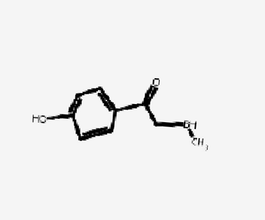 CBCC(=O)c1ccc(O)cc1